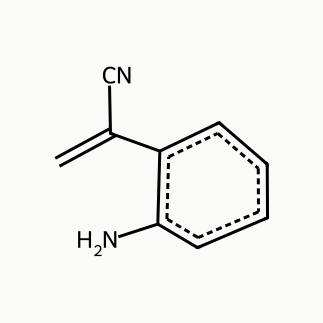 C=C(C#N)c1ccccc1N